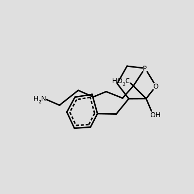 NCCCCCC1(C(=O)O)P2CCC(Cc3ccccc3)C1(O)O2